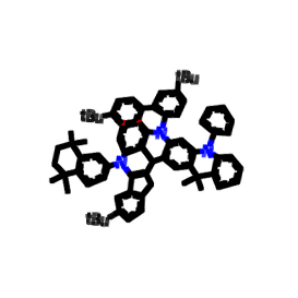 Cc1cc2c3c(c1)N(c1ccc(C(C)(C)C)cc1-c1ccc(C(C)(C)C)cc1)c1cc4c(cc1C3C1=C(c3cc(C(C)(C)C)ccc3C1)N2c1ccc2c(c1)C(C)(C)CCC2(C)C)C(C)(C)c1ccccc1N4c1ccccc1